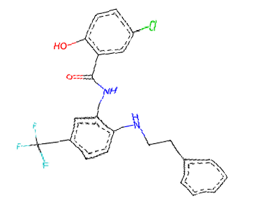 O=C(Nc1cc(C(F)(F)F)ccc1NCCc1ccccc1)c1cc(Cl)ccc1O